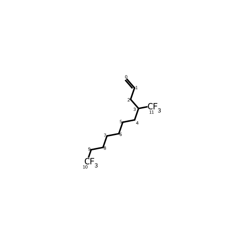 C=CCC(CCCCCCC(F)(F)F)C(F)(F)F